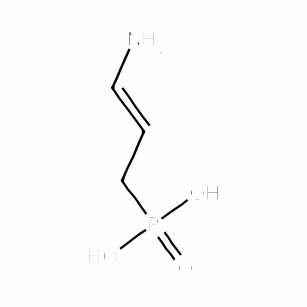 NC=CCP(=O)(O)O